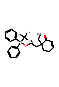 CCC1(CCO[Si](c2ccccc2)(c2ccccc2)C(C)(C)C)CCC=CC1=O